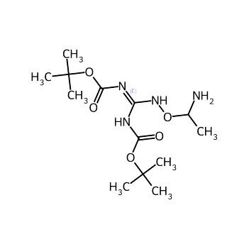 CC(N)ON/C(=N/C(=O)OC(C)(C)C)NC(=O)OC(C)(C)C